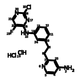 Cl.Cl.Nc1ccnc(CCc2cccc(Nc3nc(Cl)ncc3F)c2)c1